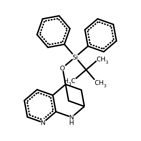 CC(C)(C)[Si](OC12CC(C1)Nc1ncccc12)(c1ccccc1)c1ccccc1